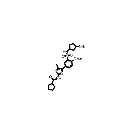 COc1ccc(-c2sc(NC(=O)C3CCCC3)nc2C)cc1S(=O)(=O)NC1CCC(N)C1